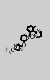 Cc1cccc(C(=O)N2CCCC(Oc3cnc(C(F)(F)F)cn3)C2)c1-c1ncccn1